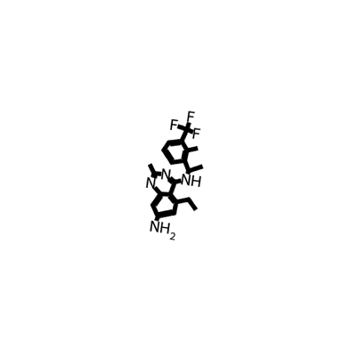 CCc1cc(N)cc2nc(C)nc(NC(C)c3cccc(C(F)(F)F)c3C)c12